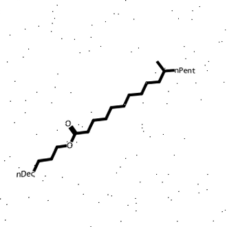 CCCCCCCCCCCCCOC(=O)CCCCCCCCCC(C)CCCCC